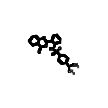 CC(C)c1ccc(S(=O)(=O)Nc2ccccc2-c2nc3ccccc3c(=O)o2)cc1